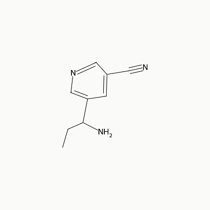 CCC(N)c1cncc(C#N)c1